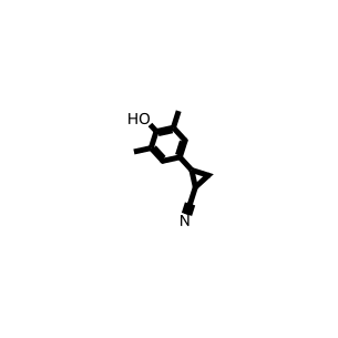 Cc1cc(C2CC2C#N)cc(C)c1O